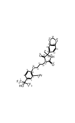 CCCc1cc(C(O)(C(F)(F)F)C(F)(F)F)ccc1OCCCN1C(=O)NC(C)(c2ccc3c(c2)OCO3)C1=O